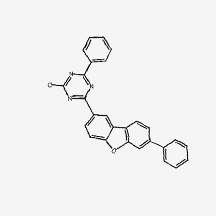 Clc1nc(-c2ccccc2)nc(-c2ccc3oc4cc(-c5ccccc5)ccc4c3c2)n1